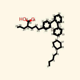 CCCCC[C@H]1CC[C@H](c2ccc(-c3ccccc3-c3ccc(CCCC(CCC)C(=O)O)cc3)cc2)CC1